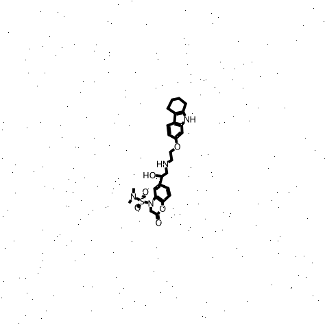 CN(C)S(=O)(=O)N1CC(=O)Oc2ccc(C(O)CNCCOc3ccc4c5c([nH]c4c3)CCCC5)cc21